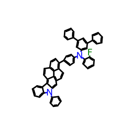 Fc1ccccc1N(c1ccc(-c2ccc3ccc4c5c(ccc2c35)cc2c4c3ccccc3n2-c2ccccc2)cc1)c1cc(-c2ccccc2)cc(-c2ccccc2)c1